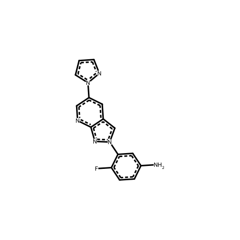 Nc1ccc(F)c(-n2cc3cc(-n4cccn4)cnc3n2)c1